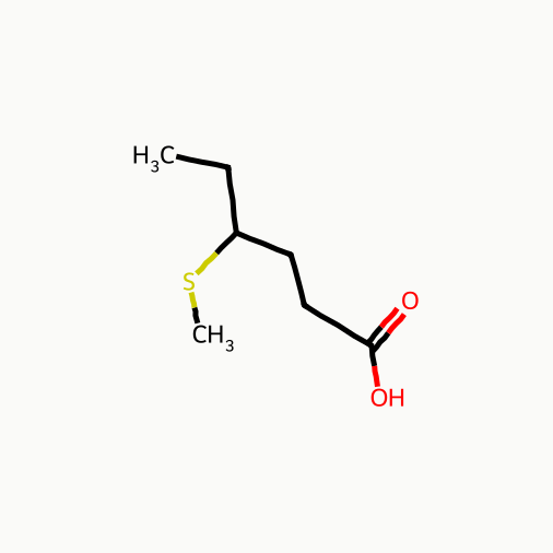 CCC(CCC(=O)O)SC